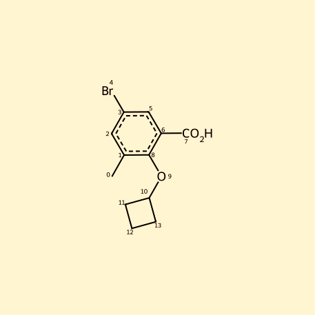 Cc1cc(Br)cc(C(=O)O)c1OC1CCC1